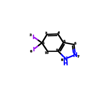 IC1(I)C=Cc2cn[nH]c2C1